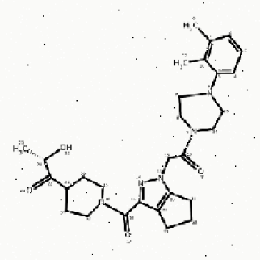 Cc1cccc(N2CCN(C(=O)Cn3nc(C(=O)N4CCC(C(=O)[C@H](C)O)CC4)c4c3CCC4)CC2)c1C